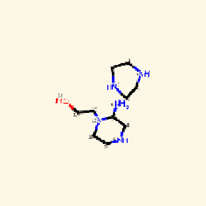 C1CNCCN1.NC1CNCCN1CCO